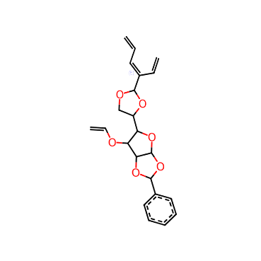 C=C/C=C(\C=C)C1OCC(C2OC3OC(c4ccccc4)OC3C2OC=C)O1